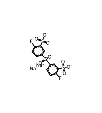 O=S(=O)([O-])c1cc(S(=O)(=O)c2ccc(F)c(S(=O)(=O)[O-])c2)ccc1F.[Na+].[Na+]